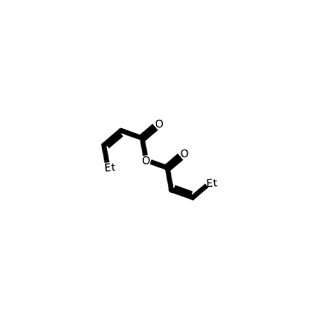 CC/C=C\C(=O)OC(=O)/C=C\CC